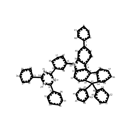 c1ccc(-c2ccc3c4c5c(ccc4n(-c4cccc(-c6nc(-c7ccccc7)nc(-c7ccccc7)n6)c4)c3c2)C(c2ccccc2)(c2ccccc2)c2ccccc2-5)cc1